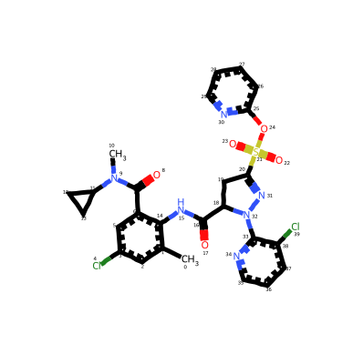 Cc1cc(Cl)cc(C(=O)N(C)C2CC2)c1NC(=O)C1CC(S(=O)(=O)Oc2ccccn2)=NN1c1ncccc1Cl